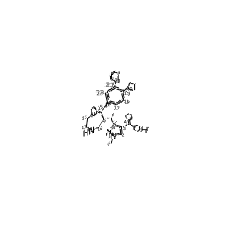 Cn1cc(C(=O)O)c(C[C@@H]2CNCCO[C@H]2c2ccc(Cl)c(Cl)c2)n1